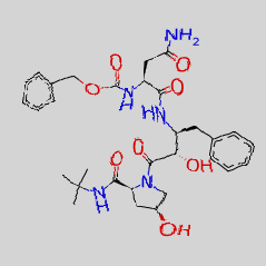 CC(C)(C)NC(=O)[C@@H]1C[C@H](O)CN1C(=O)[C@@H](O)[C@H](Cc1ccccc1)NC(=O)[C@H](CC(N)=O)NC(=O)OCc1ccccc1